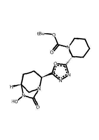 CC(C)(C)OC(=O)N1CCCC[C@@H]1c1nnc([C@@H]2CC[C@@H]3CN2C(=O)N3O)o1